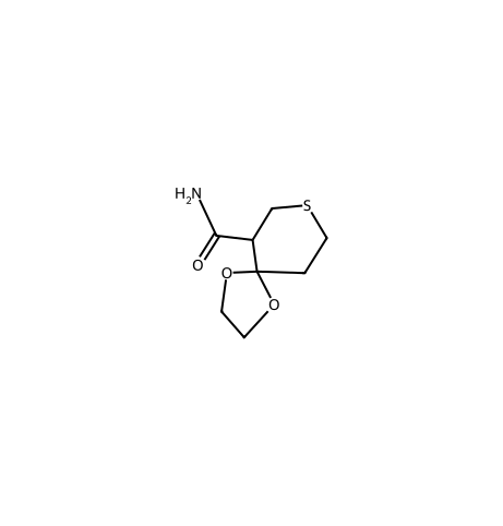 NC(=O)C1CSCCC12OCCO2